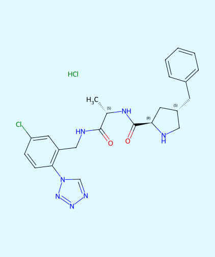 C[C@H](NC(=O)[C@H]1C[C@H](Cc2ccccc2)CN1)C(=O)NCc1cc(Cl)ccc1-n1cnnn1.Cl